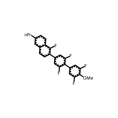 CCCc1ccc2c(F)c(-c3cc(F)c(-c4cc(F)c(OC)c(F)c4)c(F)c3)ccc2c1